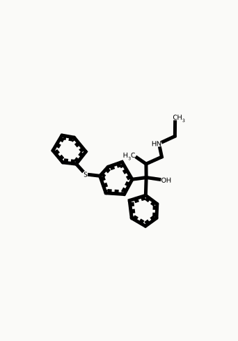 CCNCC(C)C(O)(c1ccccc1)c1ccc(Sc2ccccc2)cc1